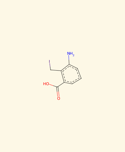 Nc1cccc(C(=O)O)c1CI